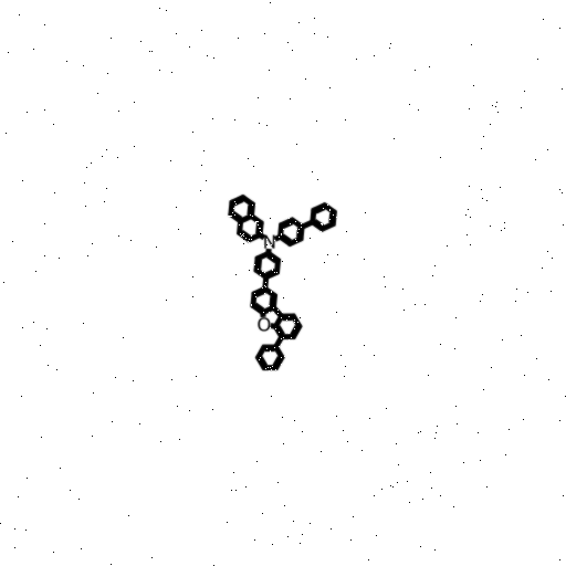 c1ccc(-c2ccc(N(c3ccc(-c4ccc5oc6c(-c7ccccc7)cccc6c5c4)cc3)c3ccc4ccccc4c3)cc2)cc1